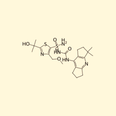 COCc1nc(C(C)(C)O)sc1[SH](N)(=O)NC(=O)Nc1c2c(nc3c1CCC3(C)C)CCC2